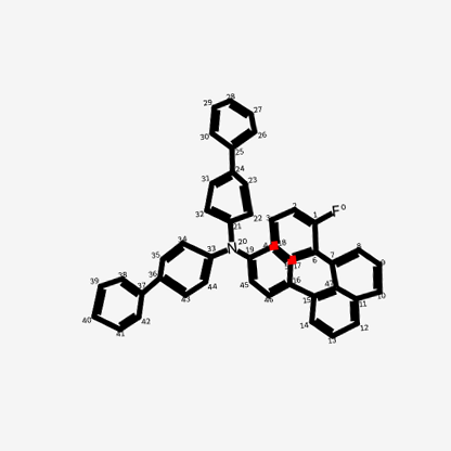 Fc1ccccc1-c1cccc2cccc(-c3ccc(N(c4ccc(-c5ccccc5)cc4)c4ccc(-c5ccccc5)cc4)cc3)c12